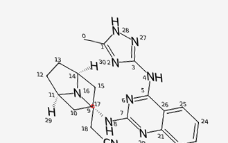 Cc1nc(Nc2nc(N[C@@H]3C[C@H]4CC[C@@H](C3)N4CCC#N)nc3ccccc23)n[nH]1